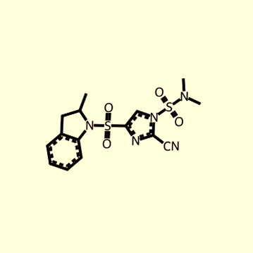 CC1Cc2ccccc2N1S(=O)(=O)c1cn(S(=O)(=O)N(C)C)c(C#N)n1